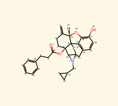 C=C1CC[C@@]2(OC(=O)CCc3ccccc3)C3N(CC4CC4)C34Cc3ccc(O)c5c3C2(C4)[C@H]1O5